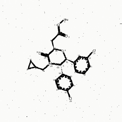 CC(C)(C)OC(=O)C[C@H]1O[C@@H](c2cccc(Cl)c2)[C@H](c2ccc(Cl)cc2)N(CC2CC2)C1=O